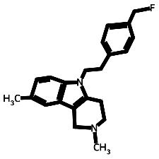 Cc1ccc2c(c1)c1c(n2CCc2ccc(CF)cc2)CCN(C)C1